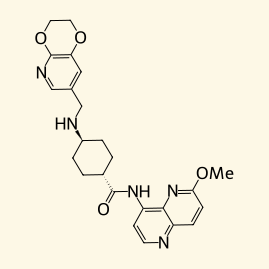 COc1ccc2nccc(NC(=O)[C@H]3CC[C@H](NCc4cnc5c(c4)OCCO5)CC3)c2n1